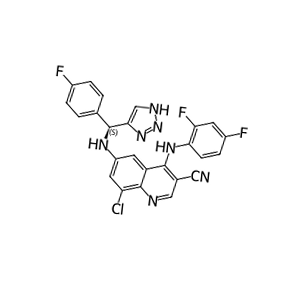 N#Cc1cnc2c(Cl)cc(N[C@@H](c3ccc(F)cc3)c3c[nH]nn3)cc2c1Nc1ccc(F)cc1F